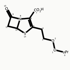 CCCOOCCC1=C(C(=O)O)N2C(=O)CC2S1